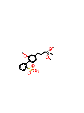 COc1cc(CCC[Si](C)(OC)OC)ccc1-c1ccccc1S(=O)(=O)O